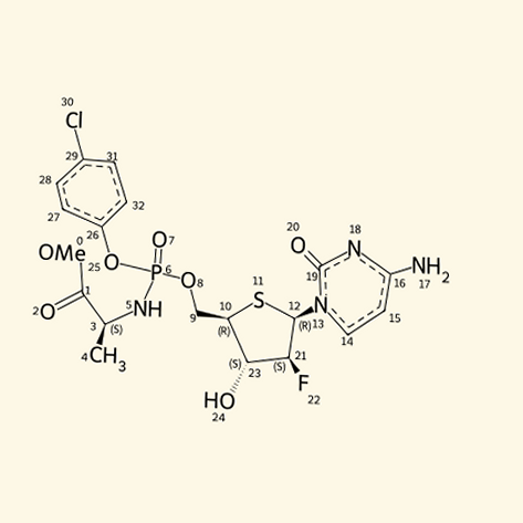 COC(=O)[C@H](C)NP(=O)(OC[C@H]1S[C@@H](n2ccc(N)nc2=O)[C@@H](F)[C@@H]1O)Oc1ccc(Cl)cc1